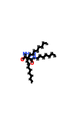 CCCCCCCCC(CCCCCCCC)(C(N)=O)C(=O)NCCCCCCC